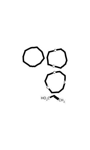 C1CCCCCCCCC1.C1CCCCCCCCC1.C1CCCCCCCCC1.C=CC(=O)O